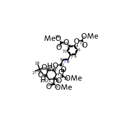 COC(=O)Oc1ccc(/C=C/C(=O)O[C@@H]2C[C@](OC(=O)OC)(C(=O)OC)C[C@H]3OC(C)(C)O[C@@H]23)cc1OC(=O)OC